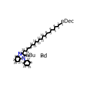 CCCCCCCCCCCCCCCCCCCCCCCCCCCCCCC(=Nc1ccccc1)C(CCCC)=Nc1ccccc1.[Pd]